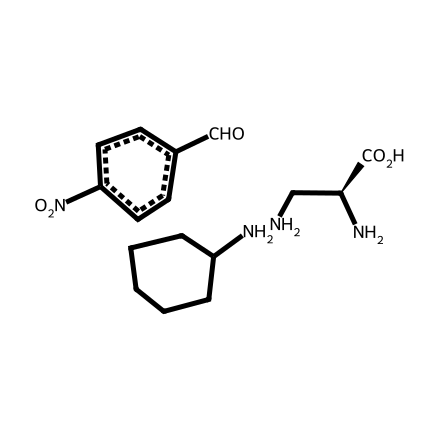 NC1CCCCC1.NC[C@H](N)C(=O)O.O=Cc1ccc([N+](=O)[O-])cc1